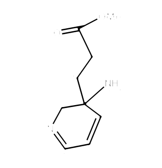 COC(=O)CCC1(N)C=CC=NC1